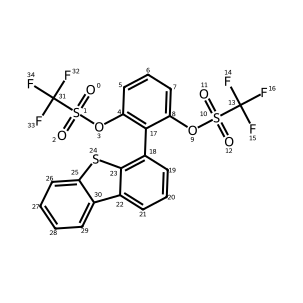 O=S(=O)(Oc1cccc(OS(=O)(=O)C(F)(F)F)c1-c1cccc2c1sc1ccccc12)C(F)(F)F